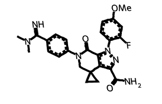 COc1ccc(-n2nc(C(N)=O)c3c2C(=O)N(c2ccc(C(=N)N(C)C)cc2)CC32CC2)c(F)c1